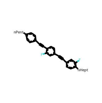 CCCCCCCc1ccc(C#Cc2ccc(C#Cc3ccc(CCCCC)cc3)c(F)c2)cc1F